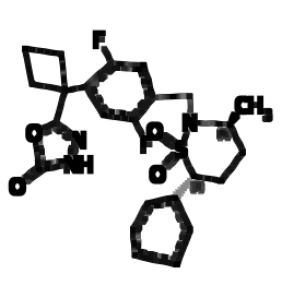 C[C@H]1CC[C@H](c2ccccc2)S(=O)(=O)N1Cc1cc(F)c(C2(c3n[nH]c(=O)o3)CCC2)cc1F